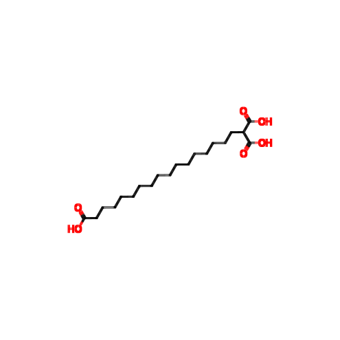 O=C(O)CCCCCCCCCCCCCCCCC(C(=O)O)C(=O)O